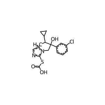 CC(C1CC1)C(O)(Cn1ncnc1SC(=O)O)c1cccc(Cl)c1